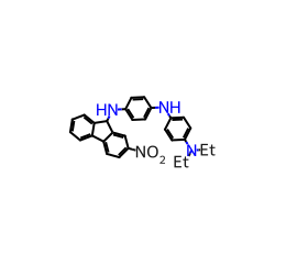 CCN(CC)c1ccc(Nc2ccc(NC3c4ccccc4-c4ccc([N+](=O)[O-])cc43)cc2)cc1